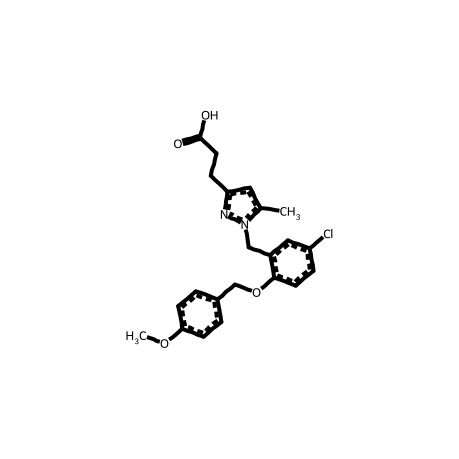 COc1ccc(COc2ccc(Cl)cc2Cn2nc(CCC(=O)O)cc2C)cc1